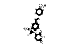 Cn1c(=O)n(C2CCC(=O)NC2=O)c2ccc(CC[C@H]3CC[C@@H](C(=O)O)CC3)cc21